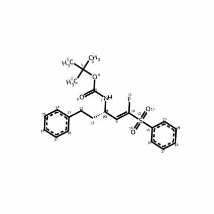 CC(C)(C)OC(=O)N[C@H](C=C(F)S(=O)(=O)c1ccccc1)CCc1ccccc1